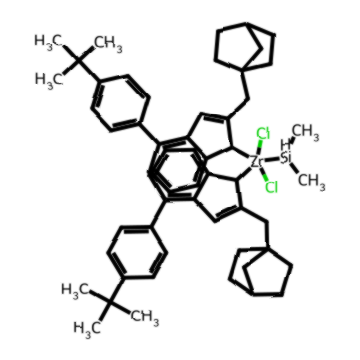 C[SiH](C)[Zr]([Cl])([Cl])([CH]1C(CC23CCC(CC2)C3)=Cc2c(-c3ccc(C(C)(C)C)cc3)cccc21)[CH]1C(CC23CCC(CC2)C3)=Cc2c(-c3ccc(C(C)(C)C)cc3)cccc21